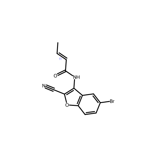 C/C=C/C(=O)Nc1c(C#N)oc2ccc(Br)cc12